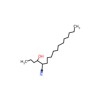 CCCCCCCCCCCCC(C#N)C(O)CCC